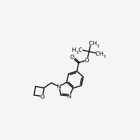 CC(C)(C)OC(=O)c1ccc2ncn(CC3CCO3)c2c1